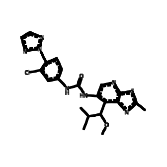 COC(c1c(NC(=O)Nc2ccc(-n3nccn3)c(Cl)c2)cnc2sc(C)nc12)C(C)C